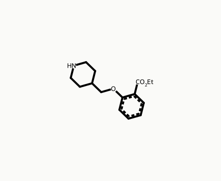 CCOC(=O)c1ccccc1OCC1CCNCC1